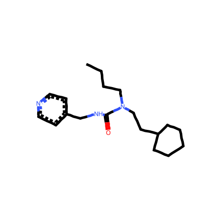 CCCCN(CCC1CCCCC1)C(=O)NCc1ccncc1